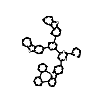 c1ccc(-c2nc(-c3cc(-c4ccc5oc6ccccc6c5c4)cc(-c4ccc5oc6ccccc6c5c4)c3)cc(-c3ccc4c5cccc6c5n(c4c3)-c3ccccc3-c3ccccc3-6)n2)cc1